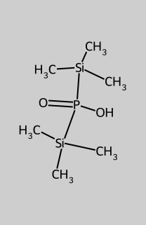 C[Si](C)(C)P(=O)(O)[Si](C)(C)C